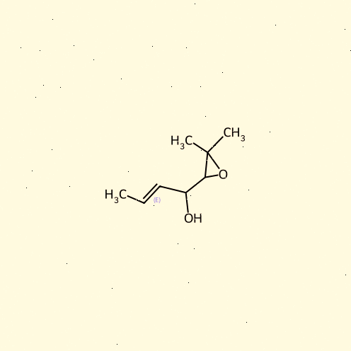 C/C=C/C(O)C1OC1(C)C